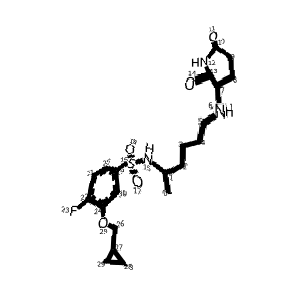 CC(CCCCNC1CCC(=O)NC1=O)NS(=O)(=O)c1ccc(F)c(OCC2CC2)c1